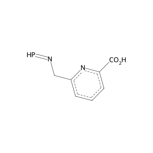 O=C(O)c1cccc(CN=P)n1